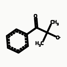 CC(C)([O])C(=O)c1ccccc1